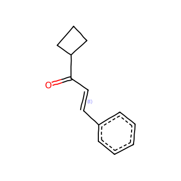 O=C(/C=C/c1ccccc1)C1CCC1